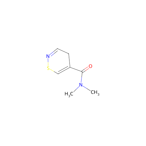 CN(C)C(=O)C1=CSN=CC1